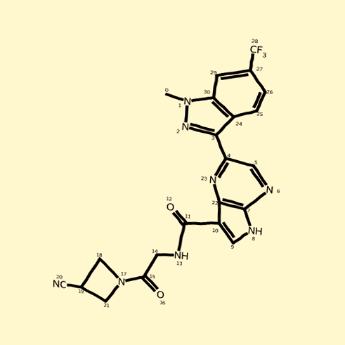 Cn1nc(-c2cnc3[nH]cc(C(=O)NCC(=O)N4CC(C#N)C4)c3n2)c2ccc(C(F)(F)F)cc21